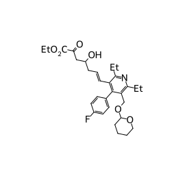 CCOC(=O)C(=O)CC(O)CC=Cc1c(CC)nc(CC)c(COC2CCCCO2)c1-c1ccc(F)cc1